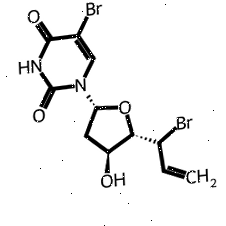 C=CC(Br)[C@H]1O[C@@H](n2cc(Br)c(=O)[nH]c2=O)C[C@@H]1O